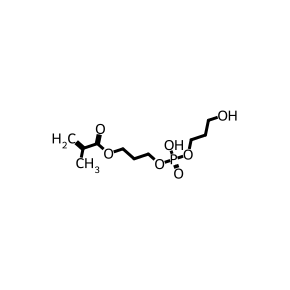 C=C(C)C(=O)OCCCOP(=O)(O)OCCCO